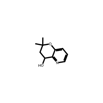 CC1(C)CC(O)c2ncccc2O1